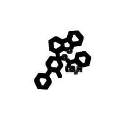 CC1=C(c2ccccc2)C=CC(OC(C(=O)O)c2ccccc2)(c2cccc3c2oc2ccccc23)C1